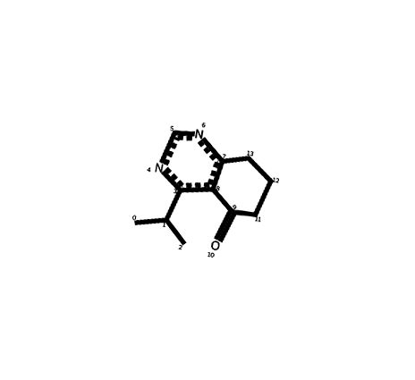 CC(C)c1ncnc2c1C(=O)CCC2